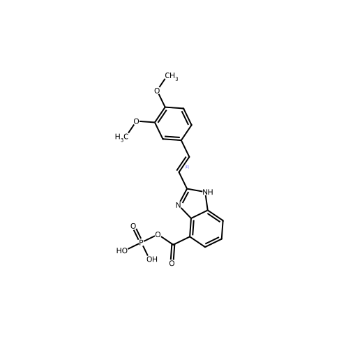 COc1ccc(/C=C/c2nc3c(C(=O)OP(=O)(O)O)cccc3[nH]2)cc1OC